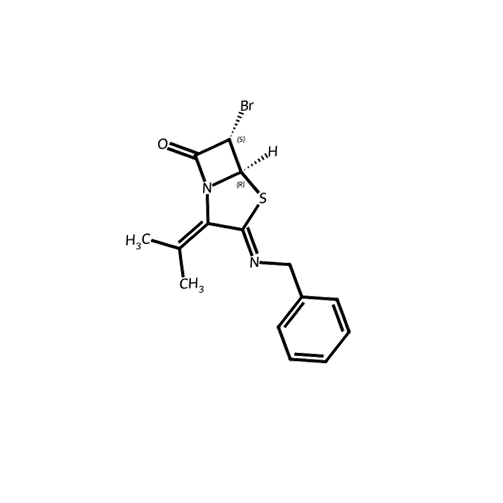 CC(C)=C1C(=NCc2ccccc2)S[C@@H]2[C@@H](Br)C(=O)N12